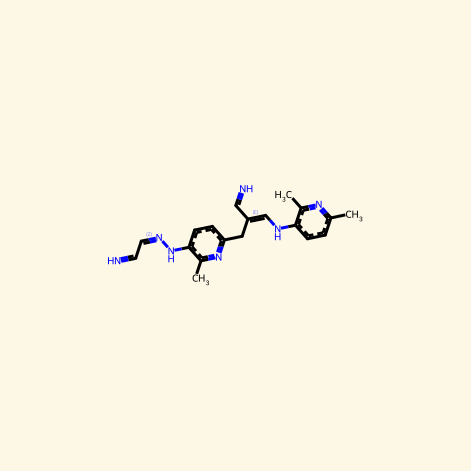 Cc1ccc(N/C=C(/C=N)Cc2ccc(N/N=C\C=N)c(C)n2)c(C)n1